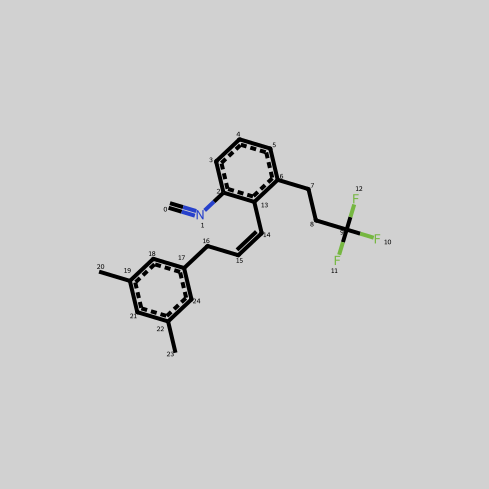 C=Nc1cccc(CCC(F)(F)F)c1/C=C\Cc1cc(C)cc(C)c1